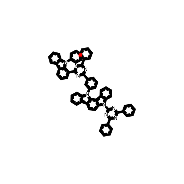 c1ccc(-c2nc(-c3cccc(-n4c5ccccc5c5ccc6c(c7ccccc7n6-c6nc(-c7ccccc7)nc(-c7ccccc7)n6)c54)c3)nc(-c3cccc4c5ccccc5n(-c5ccccc5)c34)n2)cc1